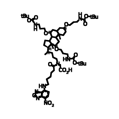 C[C@H](CCCN(CC(=O)O)C(=O)CCCCCNc1ccc([N+](=O)[O-])c2nonc12)[C@H]1CCC2C3C(C[C@H](OCCCNC(=O)OC(C)(C)C)[C@@]21C)[C@@]1(C)CC[C@@H](OCCCNC(=O)OC(C)(C)C)CC1C[C@H]3OCCCNC(=O)OC(C)(C)C